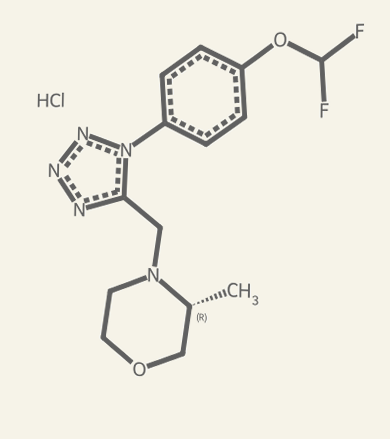 C[C@@H]1COCCN1Cc1nnnn1-c1ccc(OC(F)F)cc1.Cl